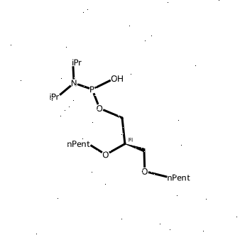 CCCCCOC[C@H](COP(O)N(C(C)C)C(C)C)OCCCCC